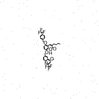 CCCC/C(=C/c1cc(OCc2ccc3nc(C(F)(F)F)cc(OC)c3c2)ccc1OCc1ccc(C(F)(F)F)cc1)C(=O)O